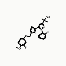 COc1ccc(CCc2ccc(-c3cc(C(C)(C)O)nn3-c3ccccc3Cl)s2)cc1F